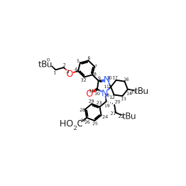 CC(C)(C)CCOc1cccc(C2=NC3(CCC(C(C)(C)C)CC3)N([C@H](CCC(C)(C)C)c3ccc(C(=O)O)cc3)C2=O)c1